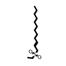 CCCCCCCCCC=CCS(=O)(=O)CC